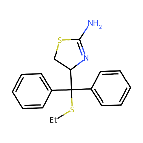 CCSC(c1ccccc1)(c1ccccc1)C1CSC(N)=N1